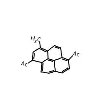 CC(=O)c1ccc2ccc3c(C(C)=O)cc(C)c4ccc1c2c43